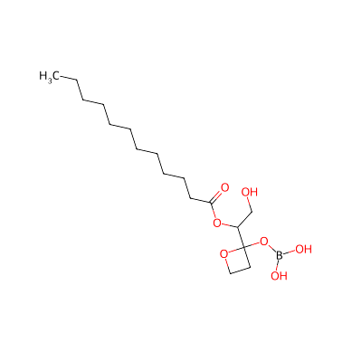 CCCCCCCCCCCC(=O)OC(CO)C1(OB(O)O)CCO1